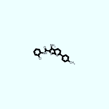 Cc1ccc(-c2ccc3c(N)c(C(=O)Nc4ccccc4Cl)sc3n2)cc1